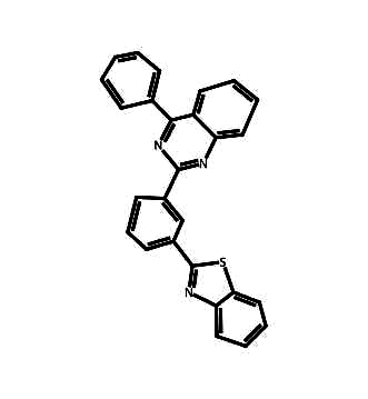 c1ccc(-c2nc(-c3cccc(-c4nc5ccccc5s4)c3)nc3ccccc23)cc1